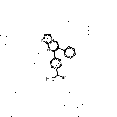 CC(Br)c1ccc(-c2nc3nccn3cc2-c2ccccc2)cc1